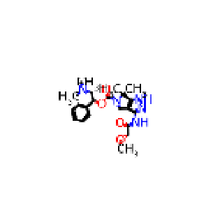 COCC(=O)Nc1n[nH]c2c1CN(C(=O)OC(CN(C)C)c1ccccc1)C2(C)C